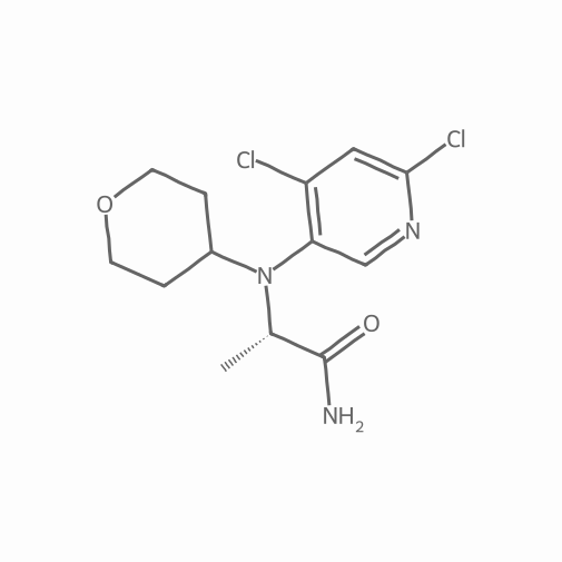 C[C@@H](C(N)=O)N(c1cnc(Cl)cc1Cl)C1CCOCC1